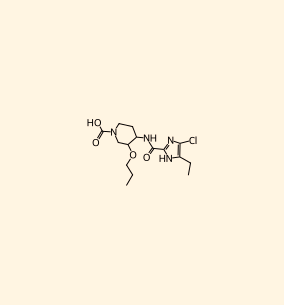 CCCOC1CN(C(=O)O)CCC1NC(=O)c1nc(Cl)c(CC)[nH]1